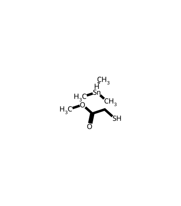 COC(=O)CS.[CH3][SnH]([CH3])[CH3]